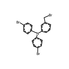 BrCc1cccc(N(c2ccc(Br)cc2)c2ccc(Br)cc2)c1